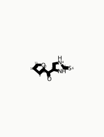 O=C(c1c[nH]c(=S)[nH]1)c1ccco1